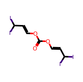 O=C(OC=CC(I)I)OC=CC(I)I